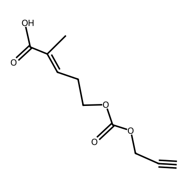 C#CCOC(=O)OCC/C=C(\C)C(=O)O